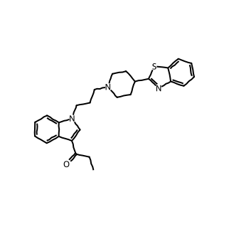 CCC(=O)c1cn(CCCN2CCC(c3nc4ccccc4s3)CC2)c2ccccc12